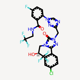 O=C(NCC(F)(F)F)c1cc(F)ccc1-n1cnc(Cn2nc(-c3ccc(Cl)cc3)n(C[C@H](O)C(F)(F)F)c2=O)n1